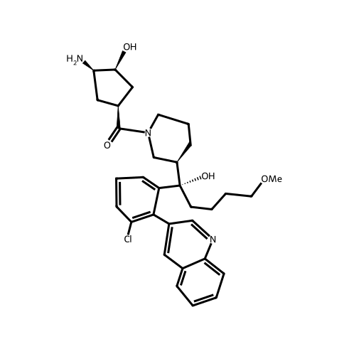 COCCCC[C@@](O)(c1cccc(Cl)c1-c1cnc2ccccc2c1)[C@@H]1CCCN(C(=O)[C@H]2C[C@@H](N)[C@@H](O)C2)C1